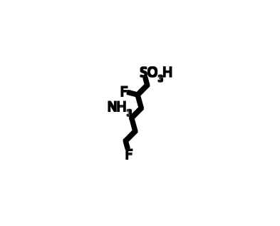 N.O=S(=O)(O)CC(F)CCCCF